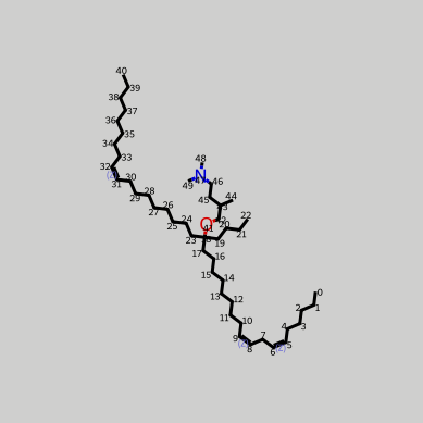 CCCCC/C=C\C/C=C\CCCCCCCCC(CCCC)(CCCCCCCC/C=C\CCCCCCCC)OCC(C)CCN(C)C